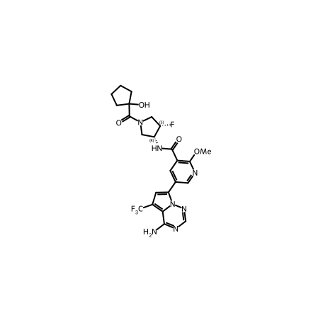 COc1ncc(-c2cc(C(F)(F)F)c3c(N)ncnn23)cc1C(=O)N[C@@H]1CN(C(=O)C2(O)CCCC2)C[C@@H]1F